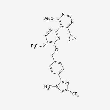 COc1ncnc(C2CC2)c1-c1ncc(CC(F)(F)F)c(OCc2ccc(-c3nc(C(F)(F)F)cn3C)cc2)n1